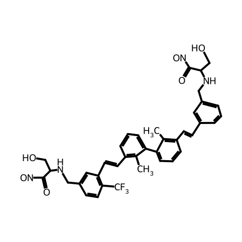 Cc1c(/C=C/c2cccc(CNC(CO)C(=O)N=O)c2)cccc1-c1cccc(/C=C/c2cc(CNC(CO)C(=O)N=O)ccc2C(F)(F)F)c1C